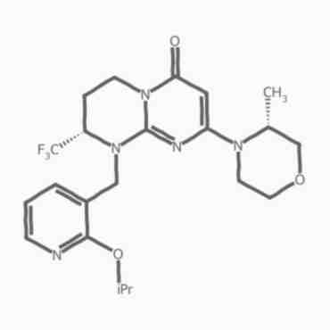 CC(C)Oc1ncccc1CN1c2nc(N3CCOC[C@H]3C)cc(=O)n2CC[C@H]1C(F)(F)F